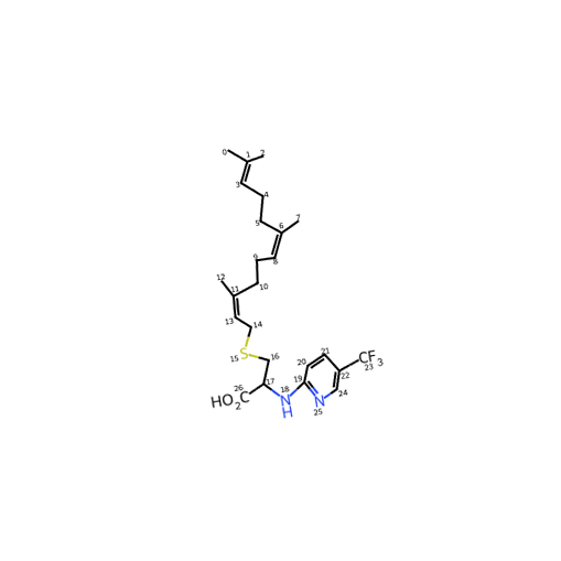 CC(C)=CCCC(C)=CCCC(C)=CCSCC(Nc1ccc(C(F)(F)F)cn1)C(=O)O